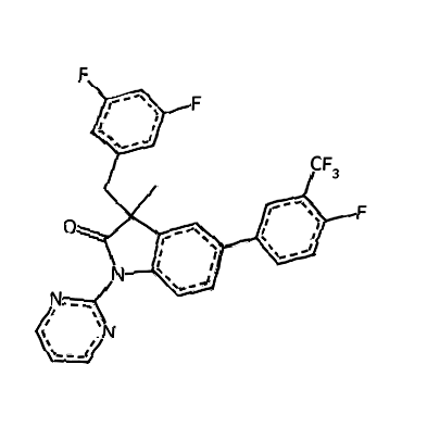 CC1(Cc2cc(F)cc(F)c2)C(=O)N(c2ncccn2)c2ccc(-c3ccc(F)c(C(F)(F)F)c3)cc21